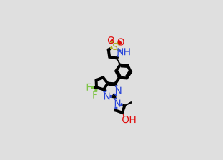 C[C@H]1[C@H](O)CN1c1nc(-c2cccc([C@H]3CCS(=O)(=O)N3)c2)c2c(n1)C(F)(F)CC2